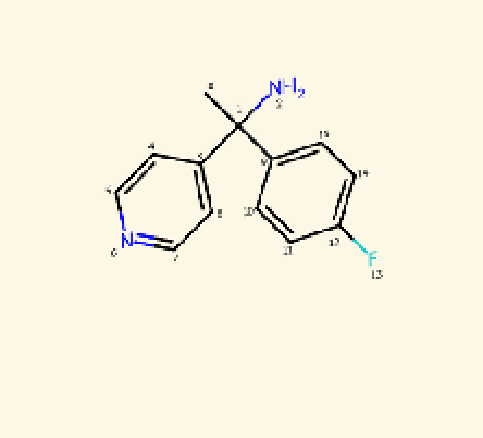 CC(N)(c1ccncc1)c1ccc(F)cc1